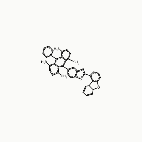 Bc1ccc(B)c2c(-c3ccc4sc(-c5cccc6c5C5C=CC=CC5O6)cc4c3)c3c(B)ccc(B)c3c(-c3ccccc3)c12